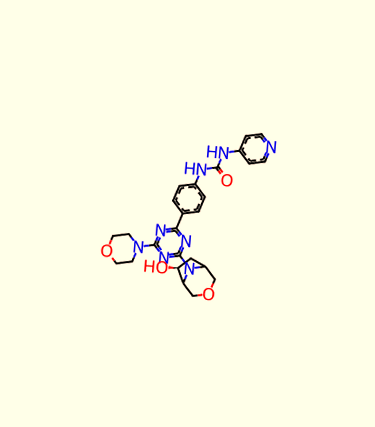 O=C(Nc1ccncc1)Nc1ccc(-c2nc(N3CCOCC3)nc(N3C4COCC3[C@@H](O)C4)n2)cc1